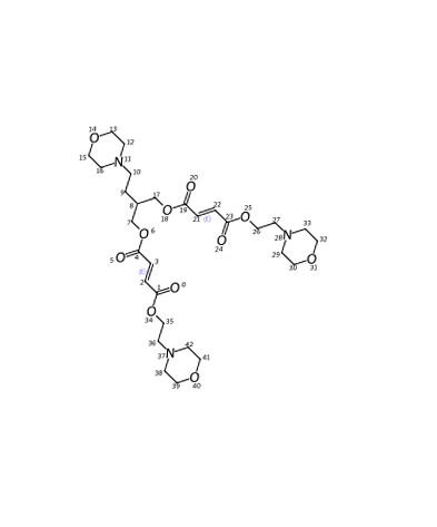 O=C(/C=C/C(=O)OCC(CCN1CCOCC1)COC(=O)/C=C/C(=O)OCCN1CCOCC1)OCCN1CCOCC1